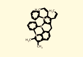 C/C=C\c1c2c(n(-c3ccccc3)c1/C=C\C)B1c3ccccc3-n3c(C)c(C)c4ccc(c1c43)C2